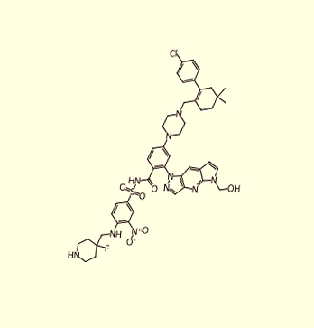 CC1(C)CCC(CN2CCN(c3ccc(C(=O)NS(=O)(=O)c4ccc(NCC5(F)CCNCC5)c([N+](=O)[O-])c4)c(-n4ncc5nc6c(ccn6CO)cc54)c3)CC2)=C(c2ccc(Cl)cc2)C1